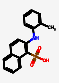 Cc1ccccc1Nc1ccc2ccccc2c1S(=O)(=O)O